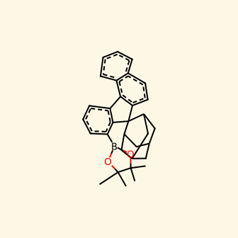 CC1(C)OB(c2cccc3c2C2(c4ccc5ccccc5c4-3)C3CC4CC(C3)CC2C4)OC1(C)C